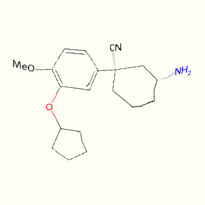 COc1ccc([C@]2(C#N)CCC[C@@H](N)C2)cc1OC1CCCC1